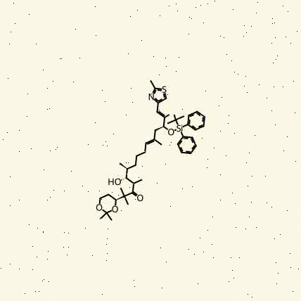 C/C(=C\CCC[C@H](C)[C@@H](O)C(C)C(=O)C(C)(C)[C@@H]1CCOC(C)(C)O1)C[C@H](O[Si](c1ccccc1)(c1ccccc1)C(C)(C)C)/C(C)=C/c1csc(C)n1